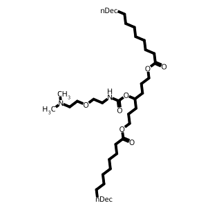 CCCCCCCCCCCCCCCCCC(=O)OCCCC(CCCOC(=O)CCCCCCCCCCCCCCCCC)OC(=O)NCCOCCN(C)C